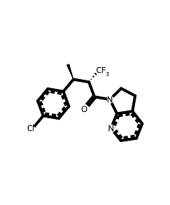 C[C@H](c1ccc(Cl)cc1)[C@@H](C(=O)N1CCc2cccnc21)C(F)(F)F